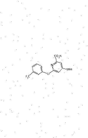 CSc1cc(Oc2cccc(C(F)(F)F)c2)nc(C(=O)O)c1